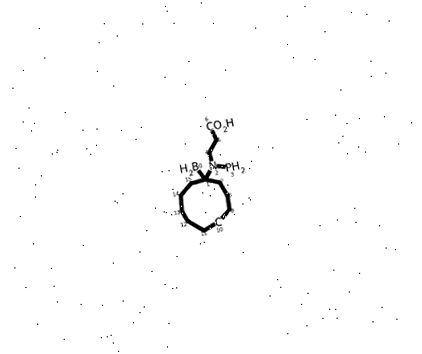 BC1(N(P)CCC(=O)O)CCCCCCCCC1